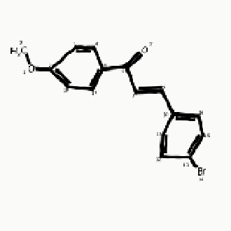 COc1ccc(C(=O)C=Cc2ccc(Br)cc2)cc1